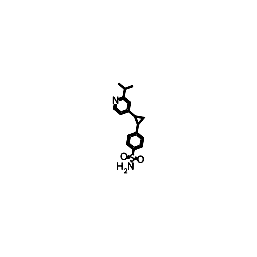 CC(C)c1cc(C2CC2c2ccc(S(N)(=O)=O)cc2)ccn1